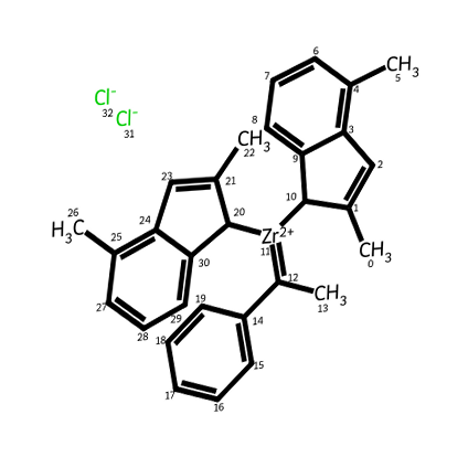 CC1=Cc2c(C)cccc2[CH]1[Zr+2](=[C](C)c1ccccc1)[CH]1C(C)=Cc2c(C)cccc21.[Cl-].[Cl-]